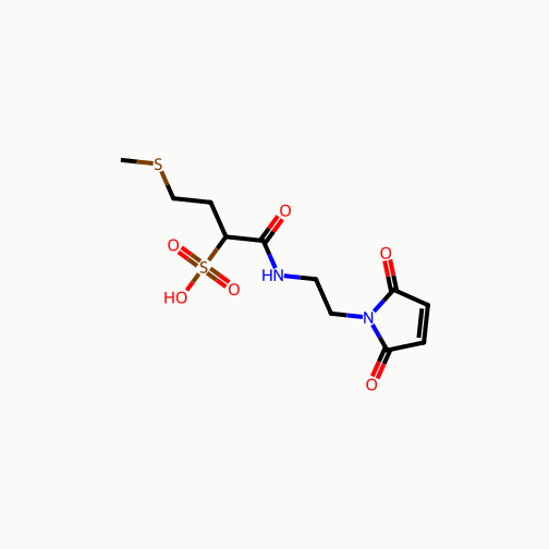 CSCCC(C(=O)NCCN1C(=O)C=CC1=O)S(=O)(=O)O